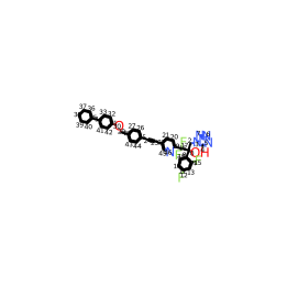 OC(Cn1cnnn1)(c1ccc(F)cc1F)C(F)(F)c1ccc(C#Cc2ccc(COc3ccc(-c4ccccc4)cc3)cc2)cn1